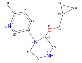 Cc1ccc(N2CCNCC2OCC2CC2)cn1